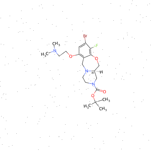 CN(C)CCOc1cc(Br)c(F)c2c1CN1CCN(C(=O)OC(C)(C)C)C[C@@H]1CO2